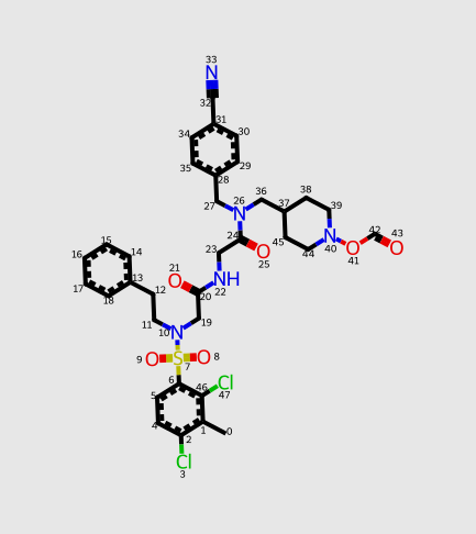 Cc1c(Cl)ccc(S(=O)(=O)N(CCc2ccccc2)CC(=O)NCC(=O)N(Cc2ccc(C#N)cc2)CC2CCN(OC=O)CC2)c1Cl